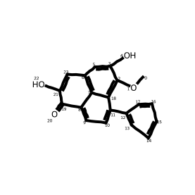 COc1c(O)cc2c3c(ccc(-c4ccccc4)c13)C(=O)C(O)=C2